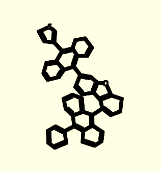 C1=Cc2c(c(-c3ccsc3)c3ccccc3c2-c2ccc3c4c(oc3c2)CCC=C4c2c3ccccc3c(-c3ccccc3)c3ccccc23)CC1